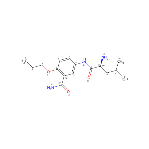 CCCOc1ccc(NC(=O)[C@@H](N)CC(C)C)cc1C(N)=O